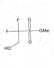 COS(=O)(=O)C(F)(F)CO